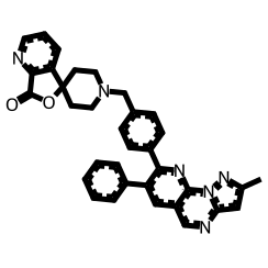 Cc1cc2ncc3cc(-c4ccccc4)c(-c4ccc(CN5CCC6(CC5)OC(=O)c5ncccc56)cc4)nc3n2n1